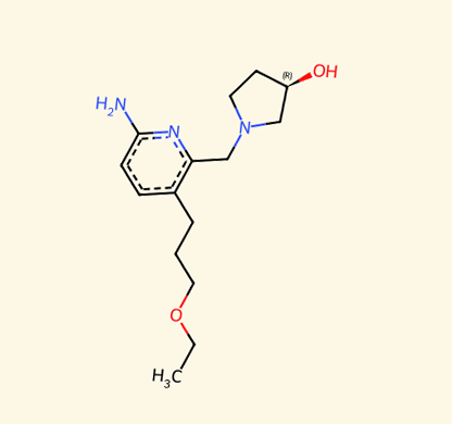 CCOCCCc1ccc(N)nc1CN1CC[C@@H](O)C1